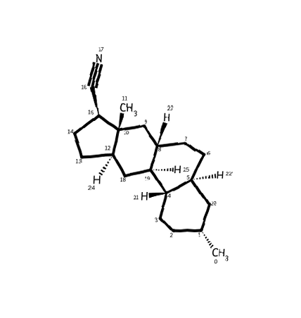 C[C@@H]1CC[C@H]2[C@@H](CC[C@H]3C[C@]4(C)[C@H](CC[C@H]4C#N)C[C@@H]32)C1